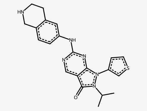 CC(C)n1c(=O)c2cnc(Nc3ccc4c(c3)CCNC4)nc2n1-c1ccsc1